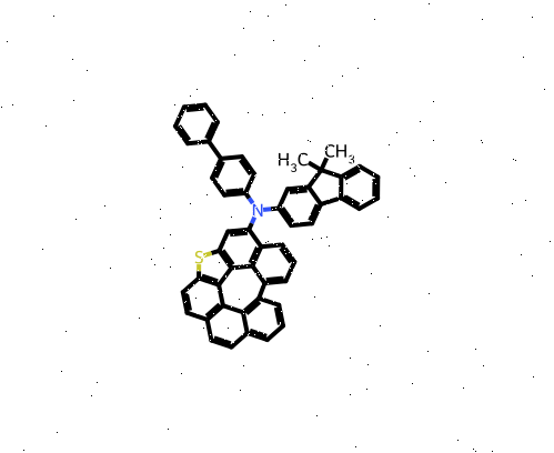 CC1(C)c2ccccc2-c2ccc(N(c3ccc(-c4ccccc4)cc3)c3cc4sc5ccc6ccc7cccc8c7c6c5c4c4c-8cccc34)cc21